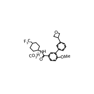 COc1ccc(C(=O)N[C@]2(C(=O)O)CC[C@H](C(F)(F)F)CC2)cc1-c1cccc(C2COC2)c1